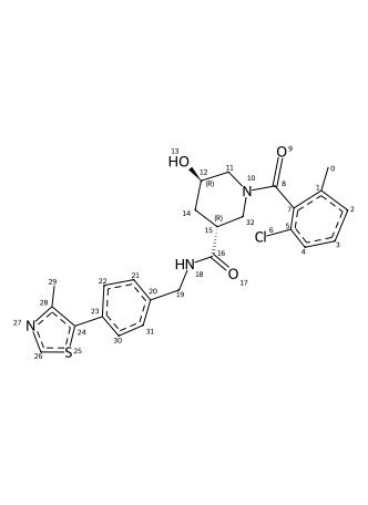 Cc1cccc(Cl)c1C(=O)N1C[C@H](O)C[C@@H](C(=O)NCc2ccc(-c3scnc3C)cc2)C1